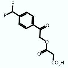 O=C(O)CC(=O)OCC(=O)c1ccc(C(F)F)cc1